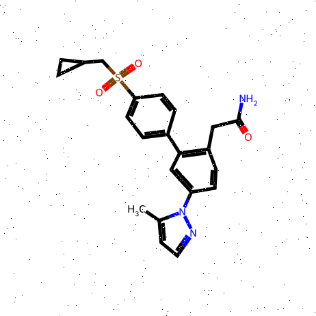 Cc1ccnn1-c1ccc(CC(N)=O)c(-c2ccc(S(=O)(=O)CC3CC3)cc2)c1